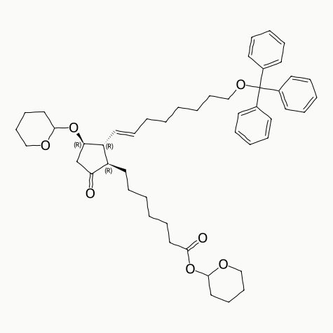 O=C(CCCCCC[C@H]1C(=O)C[C@@H](OC2CCCCO2)[C@@H]1C=CCCCCCCOC(c1ccccc1)(c1ccccc1)c1ccccc1)OC1CCCCO1